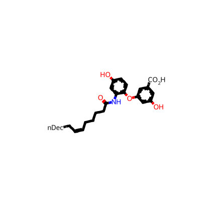 CCCCCCCCCCC/C=C\CCCCC(=O)Nc1cc(O)ccc1Oc1cc(O)cc(C(=O)O)c1